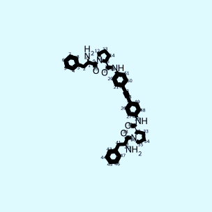 N[C@H](Cc1ccccc1)C(=O)N1CCC[C@H]1C(=O)Nc1ccc(C#Cc2ccc(NC(=O)[C@@H]3CCCN3C(=O)[C@H](N)Cc3ccccc3)cc2)cc1